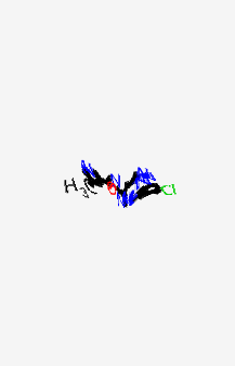 Cc1cncc(C2CN=C(c3ncn4c3Cc3cnnn3-c3cc(Cl)ccc3-4)O2)c1